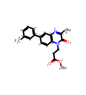 CC(C)(C)OC(=O)CCn1c(=O)c(C(C)(C)C)nc2cc(-c3cccc(C(F)(F)F)c3)ccc21